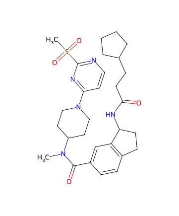 CN(C(=O)c1ccc2c(c1)C(NC(=O)CCC1CCCC1)CC2)C1CCN(c2ccnc(S(C)(=O)=O)n2)CC1